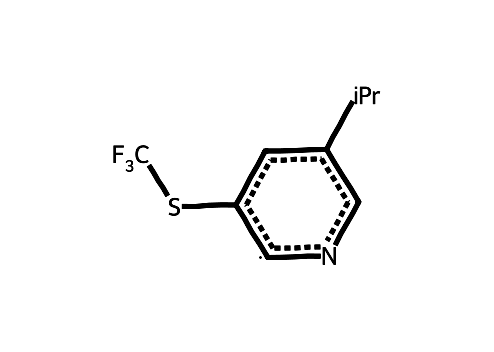 CC(C)c1cn[c]c(SC(F)(F)F)c1